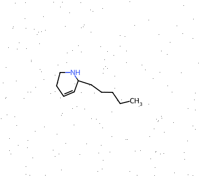 CCCCCC1C=CCCN1